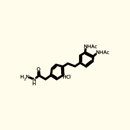 CC(=O)Nc1ccc(CCc2ccc(CC(=O)NN)cc2)cc1NC(C)=O.Cl